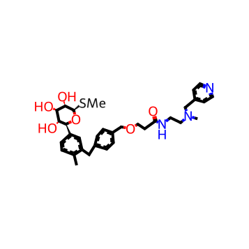 CS[C@H]1O[C@@H](c2ccc(C)c(Cc3ccc(COCCC(=O)NCCN(C)Cc4ccncc4)cc3)c2)[C@H](O)[C@@H](O)[C@@H]1O